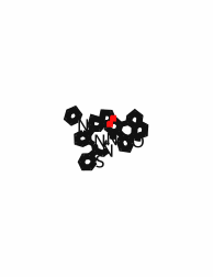 c1ccc(-n2c3cc4ccccc4cc3c3c(-c4nc(-n5c6cccc7c6c6c8c(ccc65)oc5ccc6cccc-7c6c58)nc5sc6ccccc6c45)cccc32)cc1